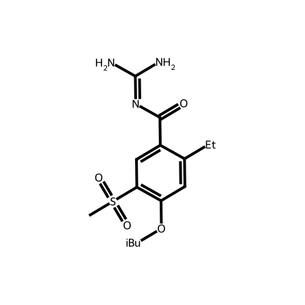 CCc1cc(OC(C)CC)c(S(C)(=O)=O)cc1C(=O)N=C(N)N